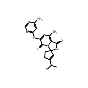 Cc1cc(Nc2cc(N)ncn2)c(=O)n2c1C(=O)NC21C=C(C(F)F)CC1